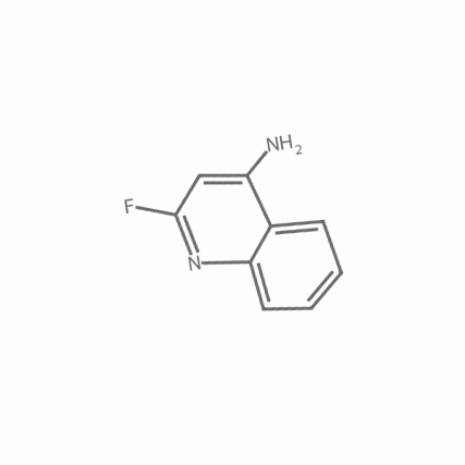 Nc1cc(F)nc2ccccc12